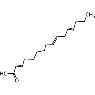 CCCC=CCC=CCCCCCC=CC(=O)O